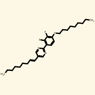 CCCCCCC/C=C/c1cnc(-c2ccc(OCCCCCCCCC)c(F)c2F)nc1